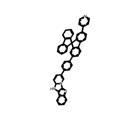 C1=CC2=C(CC1)c1ccccc1C21c2cc(-c3ccncc3)ccc2-c2ccc(-c3ccc(C4=CN5c6sc7ccccc7c6NC5C=C4)cc3)cc21